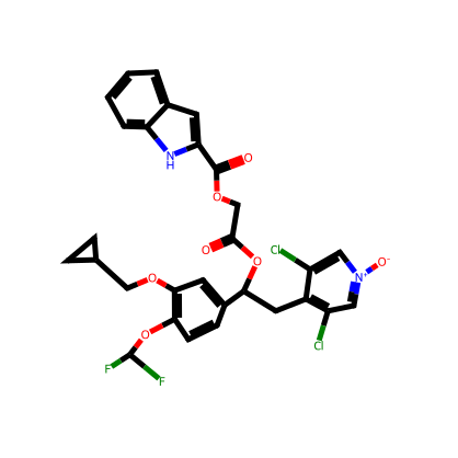 O=C(COC(=O)c1cc2ccccc2[nH]1)OC(Cc1c(Cl)c[n+]([O-])cc1Cl)c1ccc(OC(F)F)c(OCC2CC2)c1